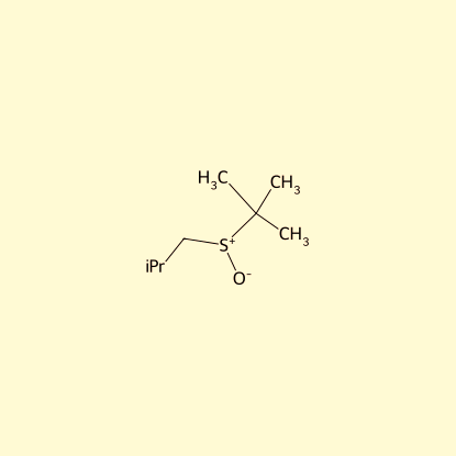 CC(C)C[S+]([O-])C(C)(C)C